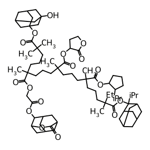 CCC(C)(CCCC(C)(CCCC(C)(CCCC(C)(CCCC(C)(C)C(=O)OC12CC3CC(CC(O)(C3)C1)C2)C(=O)OCC(=O)OC1C2CC3CC(C2)C(=O)OC1C3)C(=O)OC1CCOC1=O)C(=O)OC1CCCC1C(C)C)C(=O)OC1(C(C)C)C2CC3CC(C2)CC1C3